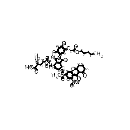 CCCCCOC(=O)COc1cc(N2C(=O)C3=C(CCCC3)C2=O)c(F)cc1Cl.CP(=O)(O)CCC(N)C(=O)O.CS(=O)(=O)c1ccc(C(=O)C2C(=O)CCCC2=O)c([N+](=O)[O-])c1